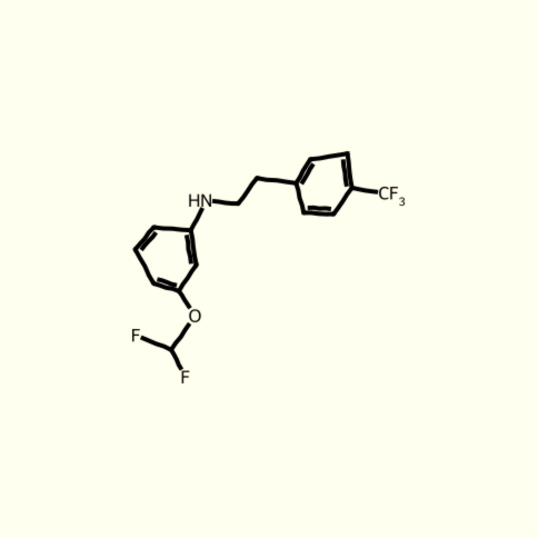 FC(F)Oc1cccc(NCCc2ccc(C(F)(F)F)cc2)c1